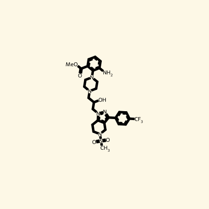 COC(=O)c1cccc(N)c1N1CCN(CC(O)Cn2nc(-c3ccc(C(F)(F)F)cc3)c3c2CCN(S(C)(=O)=O)C3)CC1